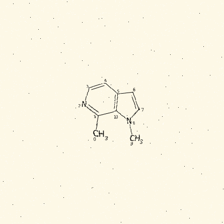 Cc1nccc2ccn(C)c12